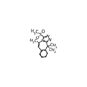 CC1=Cc2ccccc2C(C)(C)c2nnc(S(C)(=O)=O)n21